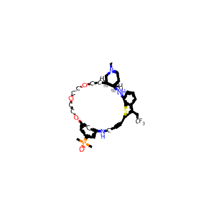 CN1CC[C@@H]2Nc3cccc4c(CC(F)(F)F)c(sc34)C#CCNc3cc(cc(P(C)(C)=O)c3)OCCOCCOCC[C@H]2C1